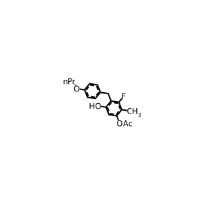 CCCOc1ccc(Cc2c(O)cc(OC(C)=O)c(C)c2F)cc1